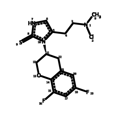 CN(Cl)CCc1c[nH]c(=S)n1[C@H]1COc2c(F)cc(F)cc2C1